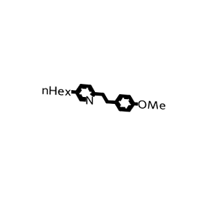 CCCCCCc1ccc(CCc2ccc(OC)cc2)nc1